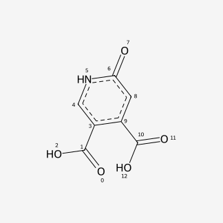 O=C(O)c1c[nH]c(=O)cc1C(=O)O